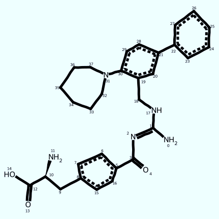 NC(=NC(=O)c1ccc(C[C@H](N)C(=O)O)cc1)NCc1cc(-c2ccccc2)ccc1N1CCCCCC1